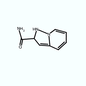 NC(=O)C1C=C2C=CC=CN2N1